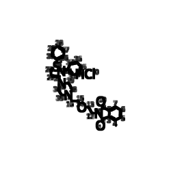 Cl.O=C1c2ccccc2C(=O)N1CCOCCN1CCN(C2=CC=S(c3ccccc3)N2c2ccccc2)CC1